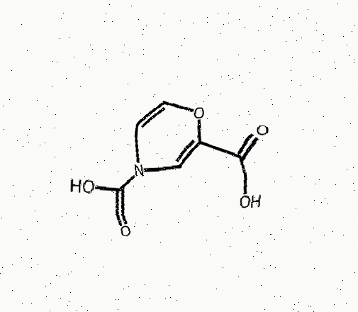 O=C(O)C1=CN(C(=O)O)C=CO1